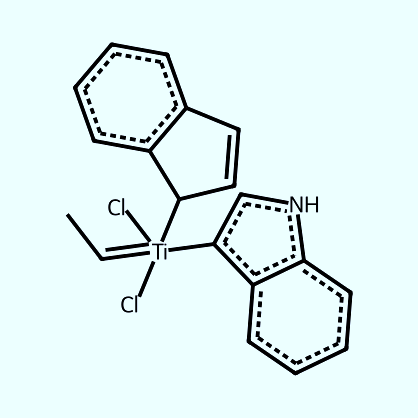 C[CH]=[Ti]([Cl])([Cl])([c]1c[nH]c2ccccc12)[CH]1C=Cc2ccccc21